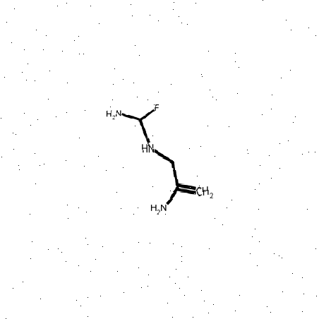 C=C(N)CNC(N)F